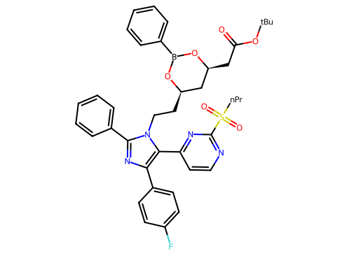 CCCS(=O)(=O)c1nccc(-c2c(-c3ccc(F)cc3)nc(-c3ccccc3)n2CC[C@@H]2C[C@H](CC(=O)OC(C)(C)C)OB(c3ccccc3)O2)n1